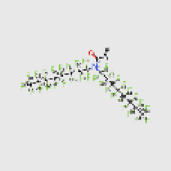 C=CC(=O)N(C(F)(F)C(F)(F)C(F)(F)C(F)(F)C(F)(F)C(F)(F)C(F)(F)C(F)(F)F)C(F)(F)C(F)(F)C(F)(F)C(F)(F)C(F)(F)C(F)(F)C(F)(F)C(F)(F)F